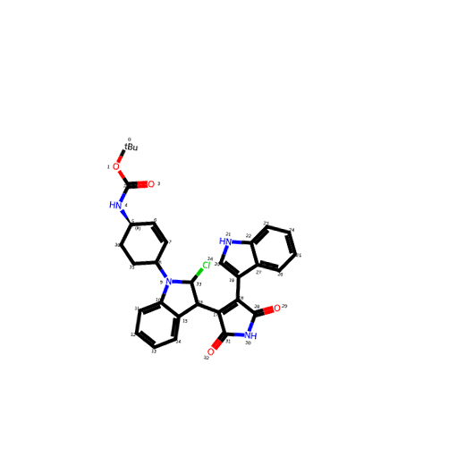 CC(C)(C)OC(=O)N[C@H]1C=CC(N2c3ccccc3C(C3=C(c4c[nH]c5ccccc45)C(=O)NC3=O)C2Cl)CC1